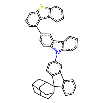 c1ccc2c(c1)-c1cc(-n3c4ccccc4c4cc(-c5cccc6sc7ccccc7c56)ccc43)ccc1C21C2CC3CC(C2)CC1C3